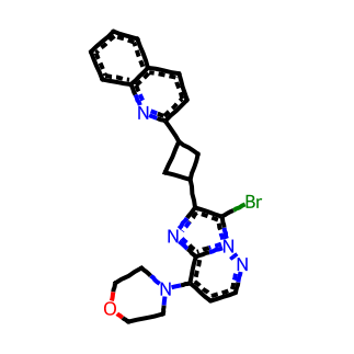 Brc1c(C2CC(c3ccc4ccccc4n3)C2)nc2c(N3CCOCC3)ccnn12